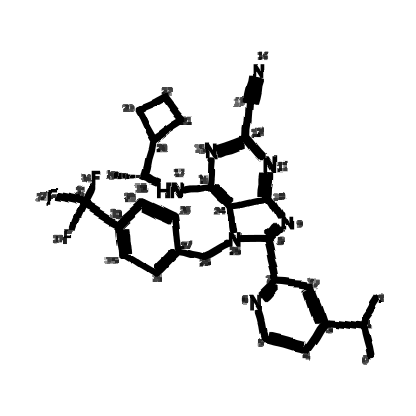 CC(C)c1ccnc(-c2nc3nc(C#N)nc(N[C@H](C)C4CCC4)c3n2Cc2ccc(C(F)(F)F)cc2)c1